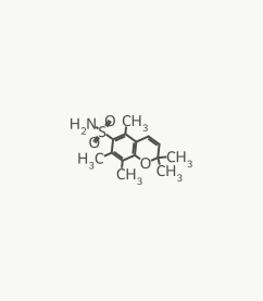 Cc1c(C)c(S(N)(=O)=O)c(C)c2c1OC(C)(C)C=C2